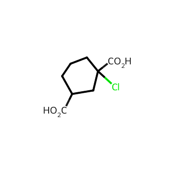 O=C(O)C1CCCC(Cl)(C(=O)O)C1